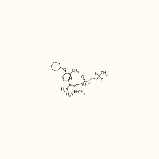 Cc1nc(/C(N)=C(\CNC(=O)OCCC(C)(F)F)N(C)N)ccc1OC1CCCCC1